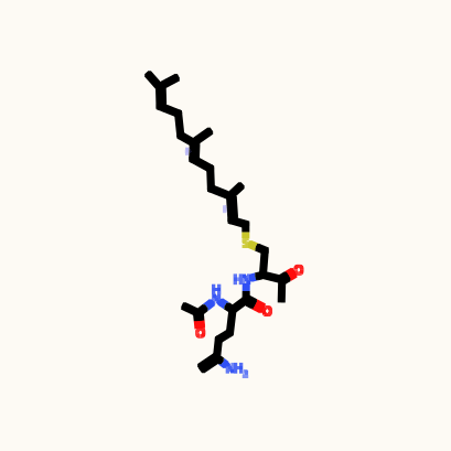 C=C(N)CCC(NC(C)=O)C(=O)NC(CSC/C=C(\C)CC/C=C(\C)CCC=C(C)C)C(C)=O